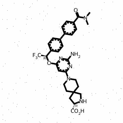 CN(C)C(=O)c1ccc(-c2ccc([C@@H](Oc3cc(N4CCC5(CC4)CN[C@H](C(=O)O)C5)nc(N)n3)C(F)(F)F)cc2)cc1